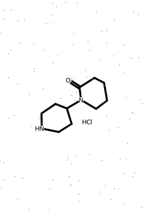 Cl.O=C1CCCCN1C1CCNCC1